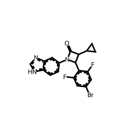 O=C1C(C2CC2)C(c2c(F)cc(Br)cc2F)N1c1ccc2[nH]cnc2c1